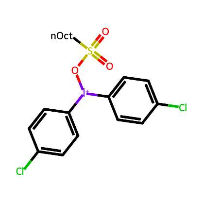 CCCCCCCCS(=O)(=O)O[I+](c1ccc(Cl)cc1)c1ccc(Cl)cc1